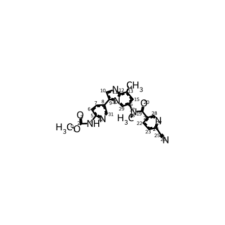 COC(=O)Nc1ccc(-c2cnc3c(C)cc(N(C)C(=O)c4ccc(C#N)nc4)cn23)cn1